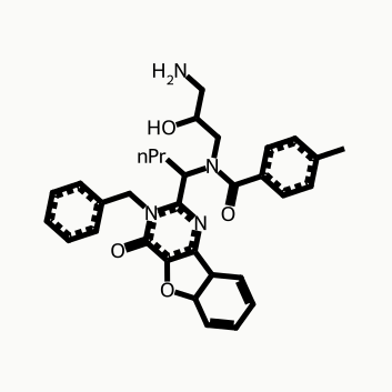 CCCC(c1nc2c(c(=O)n1Cc1ccccc1)OC1C=CC=CC21)N(CC(O)CN)C(=O)c1ccc(C)cc1